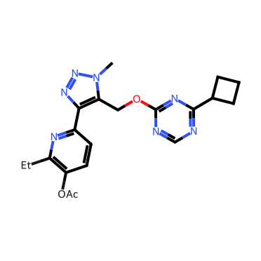 CCc1nc(-c2nnn(C)c2COc2ncnc(C3CCC3)n2)ccc1OC(C)=O